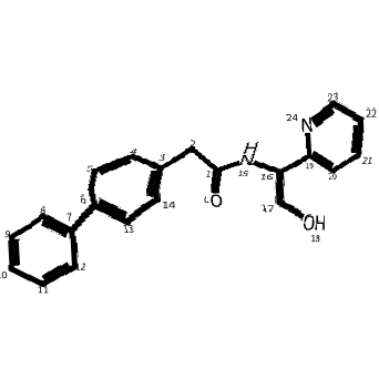 O=C(Cc1ccc(-c2ccccc2)cc1)NC(CO)c1ccccn1